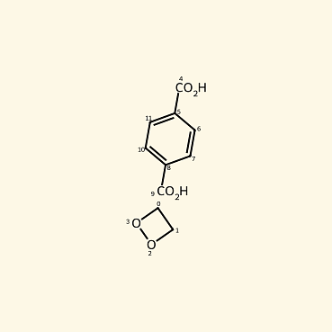 C1COO1.O=C(O)c1ccc(C(=O)O)cc1